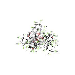 Fc1c(F)c(F)c(C2(OB(OC3(c4c(F)c(F)c(F)c(F)c4F)CCCCC3(c3c(F)c(F)c(F)c(F)c3F)c3c(F)c(F)c(F)c(F)c3F)OC3(c4c(F)c(F)c(F)c(F)c4F)CCCCC3(c3c(F)c(F)c(F)c(F)c3F)c3c(F)c(F)c(F)c(F)c3F)CCCCC2(c2c(F)c(F)c(F)c(F)c2F)c2c(F)c(F)c(F)c(F)c2F)c(F)c1F